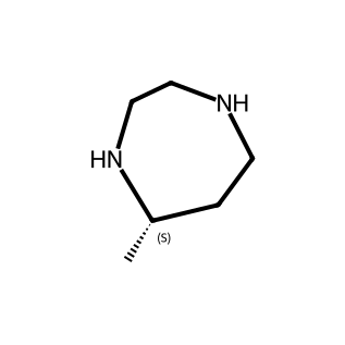 C[C@H]1CCNCCN1